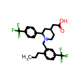 CCCc1ccc(C(F)(F)F)cc1CN1CCC(CC(=O)O)CC1c1ccc(C(F)(F)F)cc1